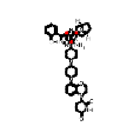 Nc1nnc(-c2ccccc2O)cc1N1C[C@H]2CC[C@@H](C1)N2c1nccc(C2CCN(C3CCN(c4cccc5c4OCCN5C4CCC(=O)NC4=O)CC3)CC2)n1